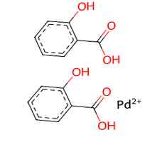 O=C(O)c1ccccc1O.O=C(O)c1ccccc1O.[Pd+2]